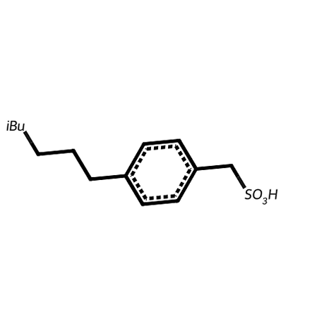 CCC(C)CCCc1ccc(CS(=O)(=O)O)cc1